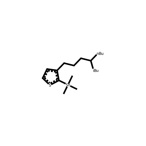 CCCCC(CCCc1ccs[c]1[Sn]([CH3])([CH3])[CH3])C(C)CC